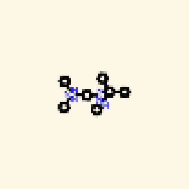 c1ccc(-c2cc(-c3ccccc3)c3nc(-c4ccc(-c5nc(-c6ccccc6)nc(-c6ccccc6)n5)cc4)n4c5ccccc5nc4c3c2)cc1